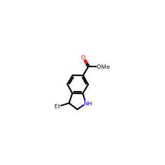 CCC1CNc2cc(C(=O)OC)ccc21